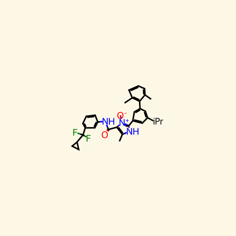 Cc1cccc(C)c1-c1cc(-c2[nH]c(C)c(C(=O)Nc3cccc(C(F)(F)C4CC4)c3)[n+]2[O-])cc(C(C)C)c1